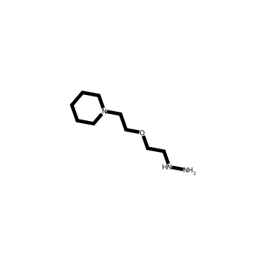 NNCCOCCN1CCCCC1